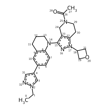 CCn1cc(-c2ccc3c(c2)CCCN3c2nn(C3COC3)c3c2CN(C(C)=O)CC3)cn1